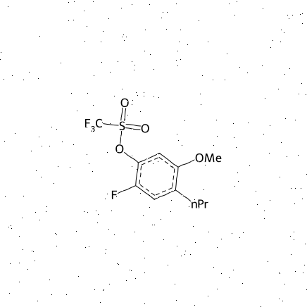 CCCc1cc(F)c(OS(=O)(=O)C(F)(F)F)cc1OC